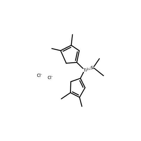 CC1=C(C)C[C]([Ti+2]([C]2=CC(C)=C(C)C2)=[Si](C)C)=C1.[Cl-].[Cl-]